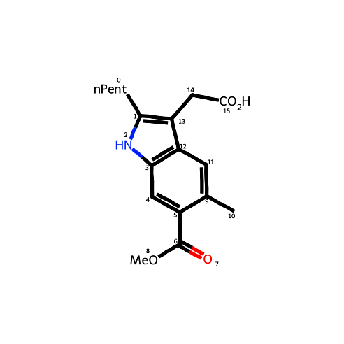 CCCCCc1[nH]c2cc(C(=O)OC)c(C)cc2c1CC(=O)O